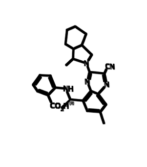 Cc1cc([C@@H](C)Nc2ccccc2C(=O)O)c2nc(N3CC4CCCCC4C3C)c(C#N)nc2c1